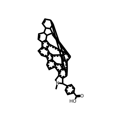 CN1Cc2c(c3c4c5c6c7c8c9c%10c(c%11ccc%12c%13ccc%14c2c4c2c6c8c(c%12c%119)c%13c%142)C=CC2C%10C=7C4C2C=CC3C54)C1c1ccc(C(=O)O)cc1